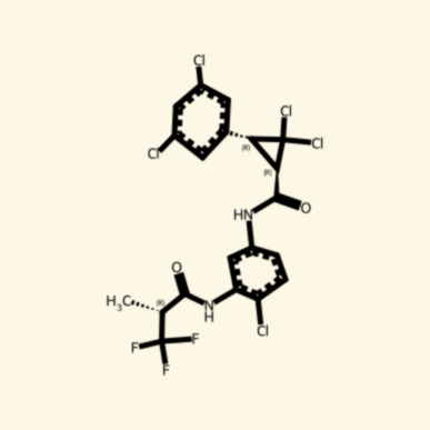 C[C@H](C(=O)Nc1cc(NC(=O)[C@H]2[C@H](c3cc(Cl)cc(Cl)c3)C2(Cl)Cl)ccc1Cl)C(F)(F)F